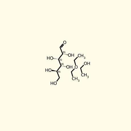 CCO.CCOCC.O=C[C@H](O)[C@@H](O)[C@H](O)[C@H](O)CO